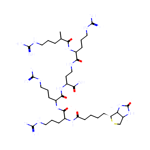 CC(CCCNC(=N)N)C(=O)NC(CCCNC(=N)N)C(=O)NCCC(NC(=O)C(CCCNC(=N)N)NC(=O)C(CCCNC(=N)N)NC(=O)CCCC[C@@H]1SC[C@@H]2NC(=O)N[C@@H]21)C(N)=O